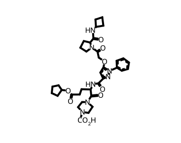 O=C(CCC(NC(=O)c1cc(OCC(=O)N2CCCC2C(=O)NC2CCC2)n(-c2ccccc2)n1)C(=O)N1CCN(C(=O)O)CC1)OC1CCCC1